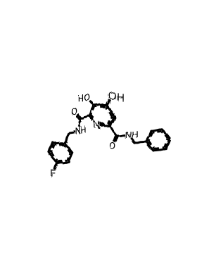 O=C(NCc1ccccc1)c1cc(O)c(O)c(C(=O)NCc2ccc(F)cc2)n1